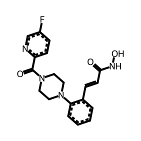 O=C(C=Cc1ccccc1N1CCN(C(=O)c2ccc(F)cn2)CC1)NO